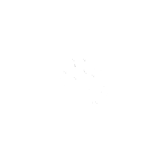 CC1(C2CN(C(c3ccccc3)(c3ccccc3)c3ccccc3-n3cnc4c(NC(=O)c5ccccc5)ncnc43)CCO2)CNCCO1